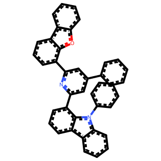 c1ccc(-c2cc(-c3cccc4c3oc3ccccc34)nc(-c3cccc4c5ccccc5n(-c5ccccc5)c34)c2)cc1